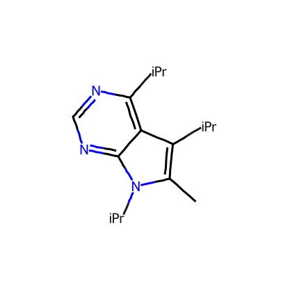 Cc1c(C(C)C)c2c(C(C)C)ncnc2n1C(C)C